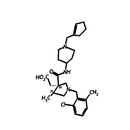 Cc1cccc(Cl)c1CN1C[C@@H](C)[C@@](CC(=O)O)(C(=O)NC2CCN(CC3=CCCC3)CC2)C1